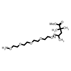 COC(=O)C(C)(C)CC(C)NOCCOCCOCCOCCON